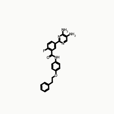 Nc1cnc(-c2ccc(F)c(C(=O)Nc3ccc(OCCc4ccccc4)cc3)c2)nc1N